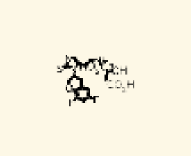 NCCC1=C[N]C(=S)N1C1COc2c(F)cc(F)cc2C1.O=C(O)C[C@@H](O)C(=O)O